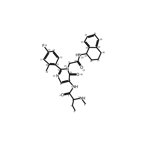 CCC(NC)C(=O)Nc1cnc(-c2ccc(F)cc2C)n(CC(=O)NC2CCCc3ccccc32)c1=O